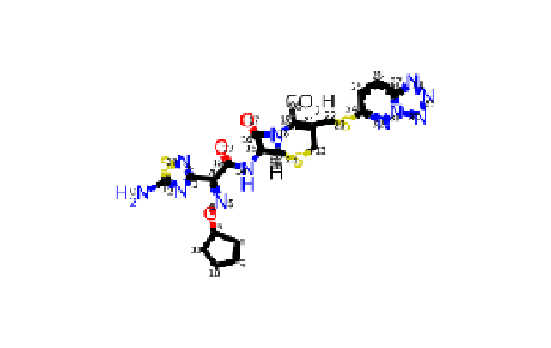 Nc1nc(C(=NOC2C=CCC2)C(=O)NC2C(=O)N3C(C(=O)O)=C(CSc4ccc5nnnn5n4)CS[C@@H]23)ns1